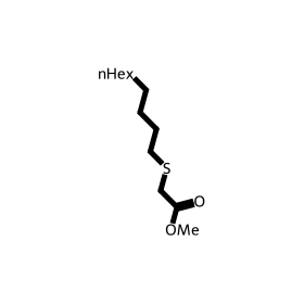 CCCCCCCCCCSCC(=O)OC